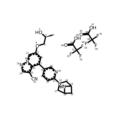 C[C@H](O)COc1cc(-c2ccc(N3CC4CC(C3)N4)nc2)c2c(C#N)cnn2c1.O=C(O)C(F)(F)F.O=C(O)C(F)(F)F